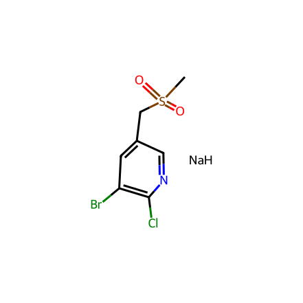 CS(=O)(=O)Cc1cnc(Cl)c(Br)c1.[NaH]